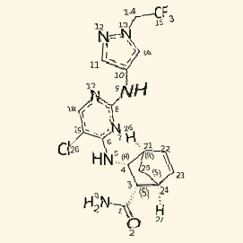 NC(=O)[C@@H]1[C@H](Nc2nc(Nc3cnn(CC(F)(F)F)c3)ncc2Cl)[C@H]2C=C[C@@H]1C2